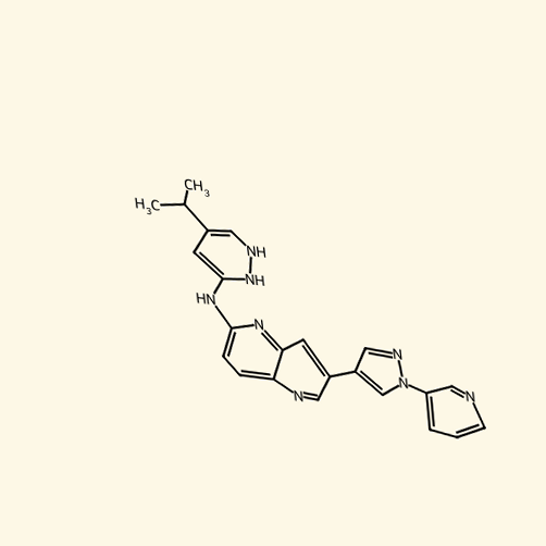 CC(C)C1=CNNC(Nc2ccc3ncc(-c4cnn(-c5cccnc5)c4)cc3n2)=C1